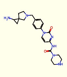 NC1CC12CCN(Cc1ccc(-n3ccc(NC(=O)N4CCNCC4)nc3=O)cc1)C2